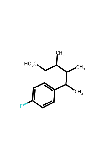 CC(CC(=O)O)C(C)C(C)c1ccc(F)cc1